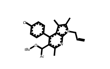 C=CCn1c(C)c(C)c2c(-c3ccc(Cl)cc3)c(C(OC(C)(C)C)C(C)=O)c(C)nc21